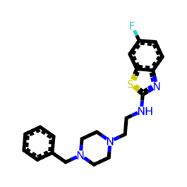 Fc1ccc2nc(NCCN3CCN(Cc4ccccc4)CC3)sc2c1